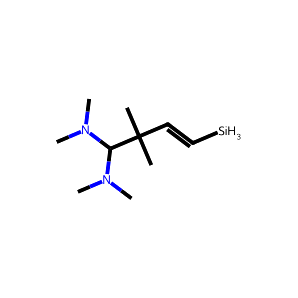 CN(C)C(N(C)C)C(C)(C)C=C[SiH3]